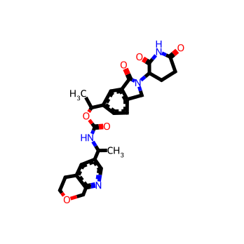 CC(NC(=O)OC(C)c1ccc2c(c1)C(=O)N(C1CCC(=O)NC1=O)C2)c1cnc2c(c1)CCOC2